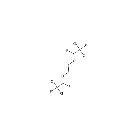 FC(OCCOC(F)C(F)(Cl)Cl)C(F)(Cl)Cl